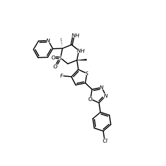 C[C@@]1(c2sc(-c3nnc(-c4ccc(Cl)cc4)o3)cc2F)CS(=O)(=O)[C@@](C)(c2ccccn2)C(=N)N1